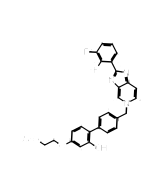 CC(=O)OCCOc1ccc(-c2ccc(Cn3ccc4nc(-c5cccc(F)c5F)nc-4c3)cc2)c(C)c1